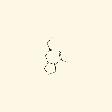 CCNCC1CCCN1C(C)=O